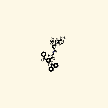 COC(C)(C)OC1C[C@@H](/C(I)=C/CNC(=O)c2cc(C(=O)C3CCCCC3)cc3c2OC(c2ccccc2)(c2ccccc2)O3)O[C@H]1n1cnc2c(N)ncnc21